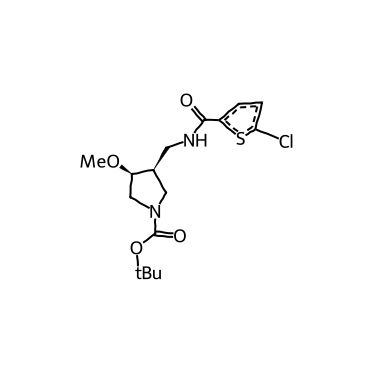 CO[C@@H]1CN(C(=O)OC(C)(C)C)C[C@@H]1CNC(=O)c1ccc(Cl)s1